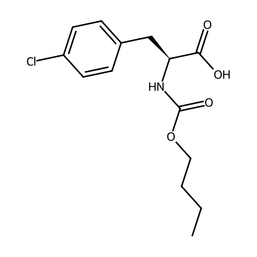 CCCCOC(=O)N[C@@H](Cc1ccc(Cl)cc1)C(=O)O